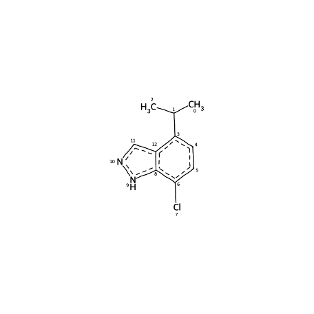 CC(C)c1ccc(Cl)c2[nH]ncc12